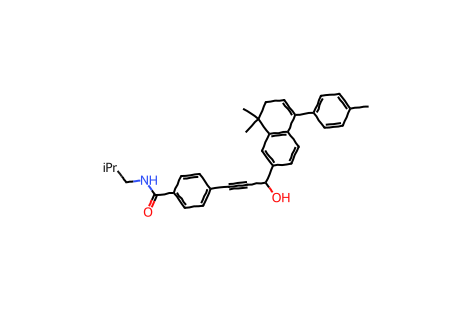 Cc1ccc(C2=CCC(C)(C)c3cc(C(O)C#Cc4ccc(C(=O)NCC(C)C)cc4)ccc32)cc1